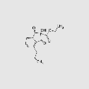 CCCc1cccc2c1C(=O)C(O)(C(=O)OCC)C2=O